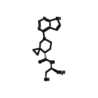 O=C(N[C@H](CO)C(=O)O)[C@H]1CCN(c2ncnc3[nH]ccc23)CC12CC2